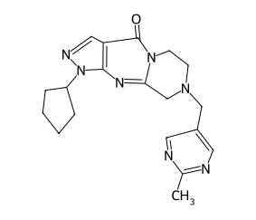 Cc1ncc(CN2CCn3c(nc4c(cnn4C4CCCC4)c3=O)C2)cn1